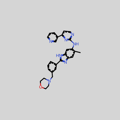 Cc1cc2nc(-c3cccc(CN4CCOCC4)c3)[nH]c2cc1Nc1nccc(-c2cccnc2)n1